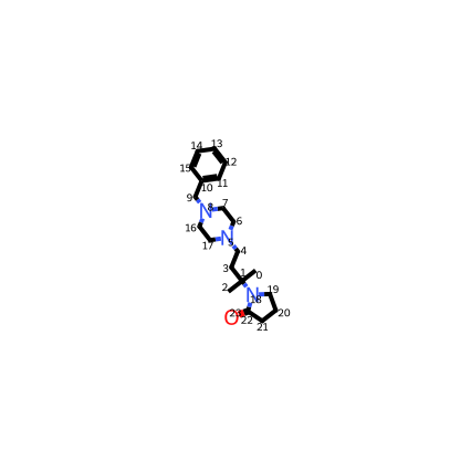 CC(C)(CCN1CCN(Cc2ccccc2)CC1)N1CCCC1=O